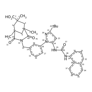 CC1(C(=O)O)CC2(C)CC(C)(C1)C(=O)N(Cc1cccc(-n3nc(C(C)(C)C)cc3NC(=O)Nc3cccc4ccccc34)c1)C2=O